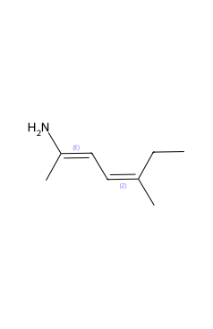 CC/C(C)=C\C=C(/C)N